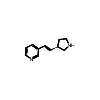 C(=C\[C@H]1CCNC1)/c1cccnc1